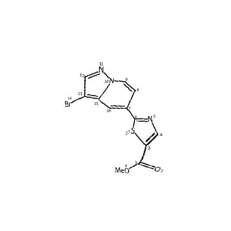 COC(=O)c1cnc(-c2ccn3ncc(Br)c3c2)s1